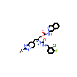 CN(C(=O)NCc1cccc(F)c1Cl)[C@H](COC(=O)Nc1cc2ccccc2cn1)CC1CCn2nc(C(F)(F)F)nc2C1